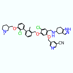 Cc1c(COc2cc(OCc3cncc(C#N)c3)c(CNC3CCc4[nH]ncc4C3)cc2Cl)cccc1-c1cccc(OCC2CCCN(C)C2)c1Cl